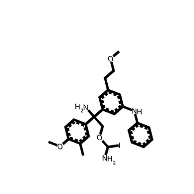 COCCc1cc(Nc2ccccc2)cc(C(N)(COC(N)I)c2ccc(OC)c(C)c2)c1